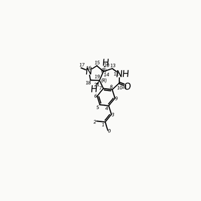 CC(C)=Cc1ccc2c(c1)C(=O)NC[C@@H]1CN(C)C[C@@H]21